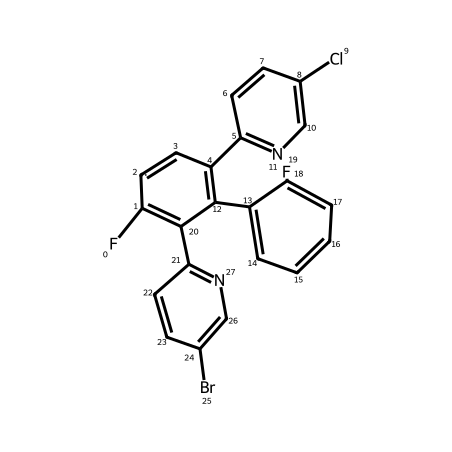 Fc1[c]cc(-c2ccc(Cl)cn2)c(-c2ccccc2F)c1-c1ccc(Br)cn1